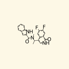 CC(c1c[nH]c(=O)c2cc(F)c(F)cc12)N(C)C(=O)c1cc2ccccc2[nH]1